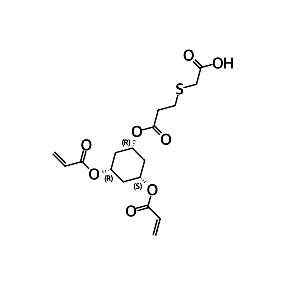 C=CC(=O)O[C@@H]1C[C@H](OC(=O)C=C)C[C@H](OC(=O)CCSCC(=O)O)C1